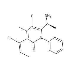 C/C=C(/Cl)c1c(C)c(F)c([C@H](C)N)n(-c2ccccc2)c1=O